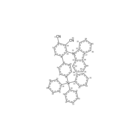 N#Cc1ccc(-c2ccc([Si](c3ccccc3)(c3ccccc3)c3ccccc3)cc2)c(-n2c3ccccc3c3ccccc32)c1C#N